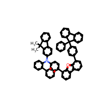 CC1(C)c2ccccc2-c2ccc(N(c3ccc(-c4cccc5c4oc4c(-c6ccc(C7(c8ccccc8)c8ccccc8-c8ccccc87)cc6)cccc45)cc3)c3ccccc3-c3ccccc3)cc21